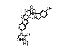 CCNC(=O)N(CO)c1ccc2oc([C@]3(CN4Cc5ccc(OC)cc5C4=O)NC(=O)NC3=O)cc2c1